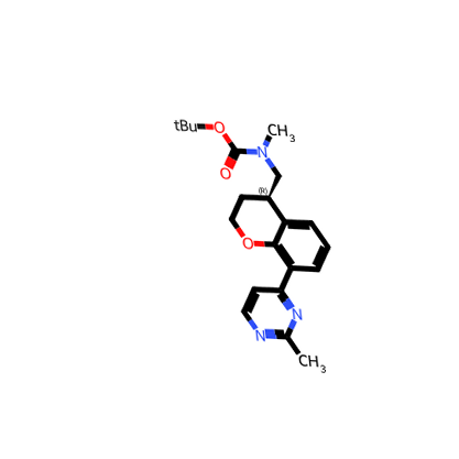 Cc1nccc(-c2cccc3c2OCC[C@H]3CN(C)C(=O)OC(C)(C)C)n1